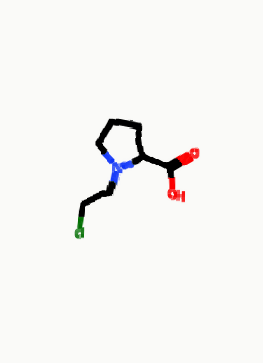 O=C(O)C1CCCN1CCCl